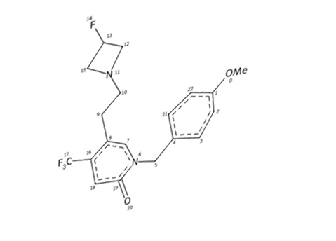 COc1ccc(Cn2cc(CCN3CC(F)C3)c(C(F)(F)F)cc2=O)cc1